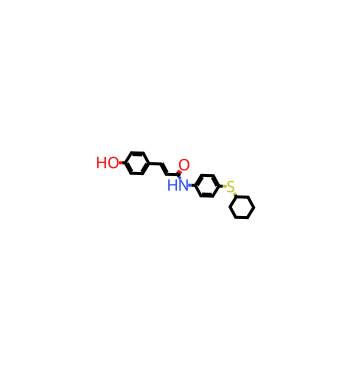 O=C(C=Cc1ccc(O)cc1)Nc1ccc(SC2CCCCC2)cc1